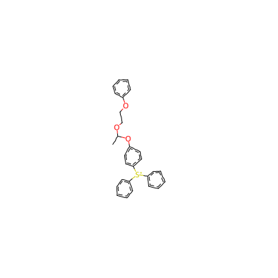 CC(OCCOc1ccccc1)Oc1ccc([S+](c2ccccc2)c2ccccc2)cc1